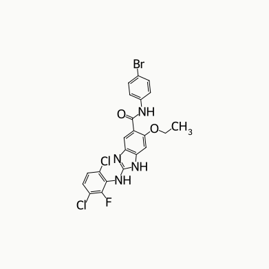 CCOc1cc2[nH]c(Nc3c(Cl)ccc(Cl)c3F)nc2cc1C(=O)Nc1ccc(Br)cc1